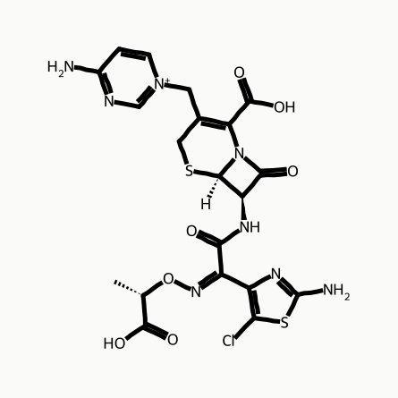 C[C@H](O/N=C(\C(=O)N[C@@H]1C(=O)N2C(C(=O)O)=C(C[n+]3ccc(N)nc3)CS[C@H]12)c1nc(N)sc1Cl)C(=O)O